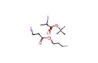 CC(I)C(=O)OC(C)(C)C.CCCCOC(=O)CCI